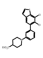 CCOC(=O)C1CCN(c2cccc(-c3cc4ccsc4c(Cl)c3Cl)c2)CC1